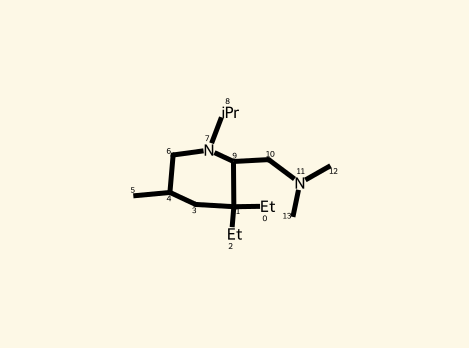 CCC1(CC)CC(C)CN(C(C)C)C1CN(C)C